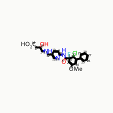 COC1=CC(F)(C(=O)Nc2ccc(CNCC(O)CC(=O)O)cn2)C(Cl)C(c2ccccc2)=C1